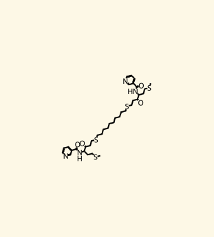 CSCCC(NC(=O)c1cccnc1)C(=O)CCSCCCCCCCCCCSCCC(=O)C(CCSC)NC(=O)c1cccnc1